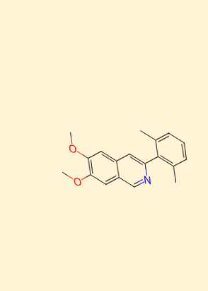 COc1cc2cnc(-c3c(C)cccc3C)cc2cc1OC